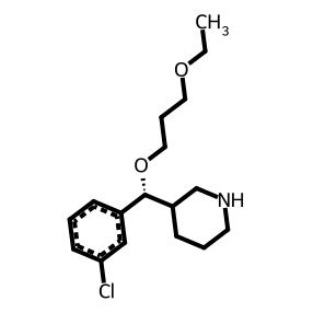 CCOCCCO[C@@H](c1cccc(Cl)c1)C1CCCNC1